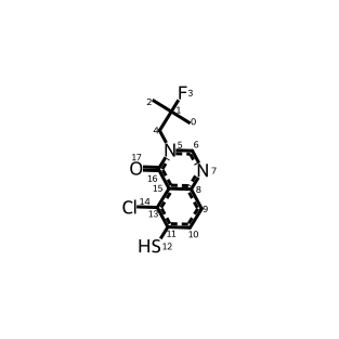 CC(C)(F)Cn1cnc2ccc(S)c(Cl)c2c1=O